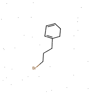 BrCCCC1=CC=CCC1